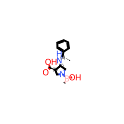 CB(O)N1C[C@@H](N[C@@H](C)c2ccccc2)[C@H](C(=O)O)C1